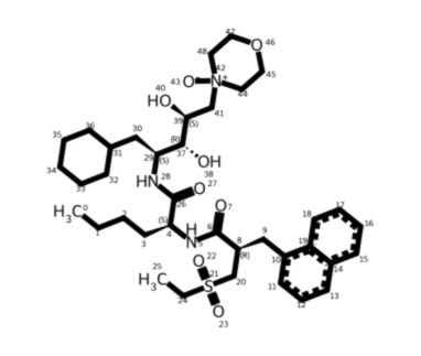 CCCC[C@H](NC(=O)[C@@H](Cc1cccc2ccccc12)CS(=O)(=O)CC)C(=O)N[C@@H](CC1CCCCC1)[C@@H](O)[C@@H](O)C[N+]1([O-])CCOCC1